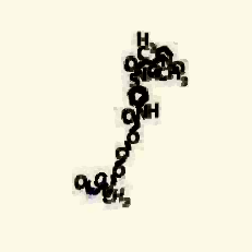 COC(C(C)C(=O)NSc1ccc(NC(=O)CCOCCOCCOCCN(C)C(=O)/C=C\C=O)cc1)C1CCCN1C=O